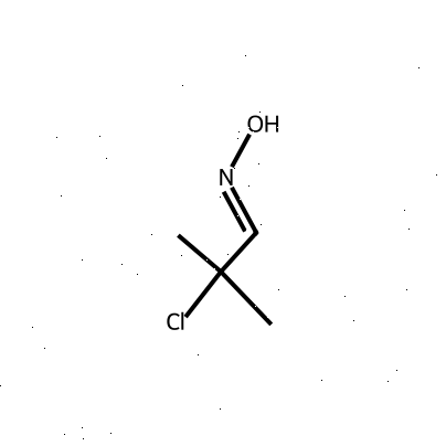 CC(C)(Cl)C=NO